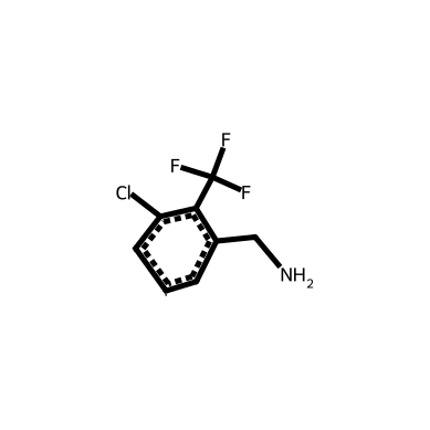 NCc1c[c]cc(Cl)c1C(F)(F)F